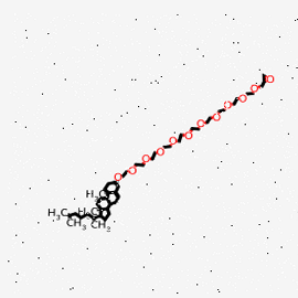 CC(C)CCCC(C)C1CCC2C3CC=C4C[C@@H](OCCOCCOCCOCCOCCOCCOCCOCCOCCOCCOCC5CO5)CC[C@]4(C)C3CC[C@]12C